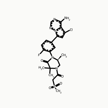 C[C@H]1CN(C(=O)CS(C)(=O)=O)C(C)(C)C(=O)N1c1cc(-c2cc(Cl)c3c(N)ncnn23)ccc1F